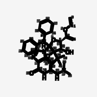 C=NOC(=C)[C@H]1O[C@](n2cnc3c(=O)[nH]c(NN(C)C)nc32)([SiH](c2ccccc2)c2ccccc2)[C@@](OC)(C(C)(C)C)[C@@H]1O